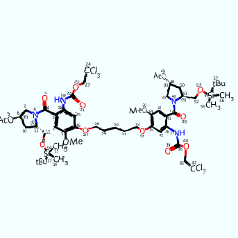 COc1cc(C(=O)N2C[C@H](OC(C)=O)C[C@H]2CO[Si](C)(C)C(C)(C)C)c(NC(=O)OCC(Cl)(Cl)Cl)cc1OCCCCCOc1cc(NC(=O)OCC(Cl)(Cl)Cl)c(C(=O)N2C[C@H](OC(C)=O)C[C@H]2CO[Si](C)(C)C(C)(C)C)cc1OC